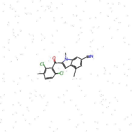 Cc1ccc(Cl)c(C(=O)c2cc3c(C)cc(C#N)cc3n2C)c1Cl